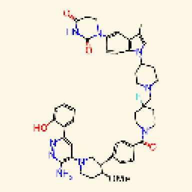 CO[C@H]1CCN(c2cc(-c3ccccc3O)nnc2N)C[C@H]1c1ccc(C(=O)N2CCC(F)(CN3CCC(n4cc(C)c5cc(N6CCC(=O)NC6=O)ccc54)CC3)CC2)cc1